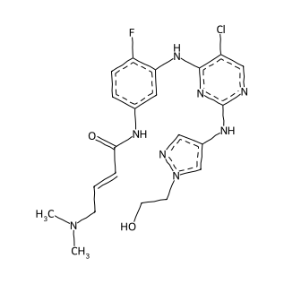 CN(C)C/C=C/C(=O)Nc1ccc(F)c(Nc2nc(Nc3cnn(CCO)c3)ncc2Cl)c1